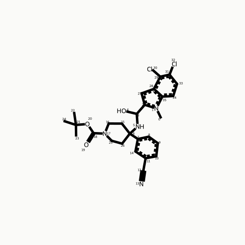 Cn1c(C(O)NC2(c3cccc(C#N)c3)CCN(C(=O)OC(C)(C)C)CC2)cc2c(Cl)c(Cl)ccc21